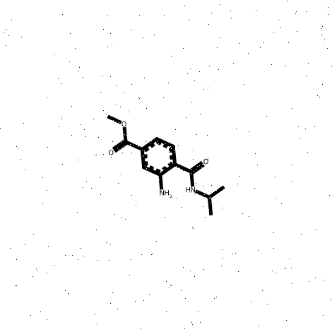 COC(=O)c1ccc(C(=O)NC(C)C)c(N)c1